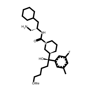 COCCCC[C@@](O)(c1cc(C)cc(F)c1)[C@@H]1CCCN(C(=O)N[C@H](CN)CC2CCCCC2)C1